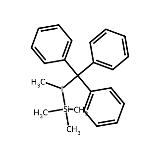 CI(C(c1ccccc1)(c1ccccc1)c1ccccc1)[Si](C)(C)C